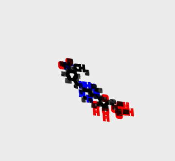 Cc1cc(CNc2ncnc3c2ncn3[C@@H]2O[C@H](COP(=O)(O)O)[C@@H](O)[C@H]2O)ccc1[N+](=O)[O-]